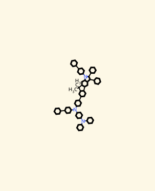 CC1(C)c2cc(-c3ccc(N(c4ccc(-c5ccccc5)cc4)c4ccc(N(c5ccccc5)c5ccccc5)cc4)cc3)ccc2-c2cc3c(-c4ccccc4)c(-c4ccccc4)n(-c4ccc(-c5ccccc5)cc4)c3cc21